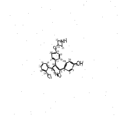 Oc1ccc(-c2onc(-c3ccccc3Cl)c2-c2ccc(OC3CNC3)cc2)cc1